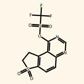 O=S1(=O)CCc2c1ccc1ncnc(OS(=O)(=O)C(F)(F)F)c21